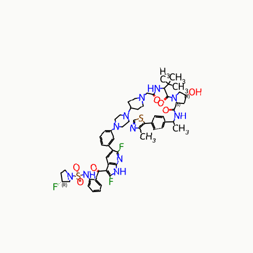 Cc1ncsc1-c1ccc(C(C)NC(=O)[C@@H]2C[C@@H](O)CN2C(=O)C(NC(=O)CN2CCC(N3CCN(c4cccc(-c5cc6c(C(=O)c7ccccc7NS(=O)(=O)N7CC[C@@H](F)C7)c(F)[nH]c6nc5F)c4)CC3)CC2)C(C)(C)C)cc1